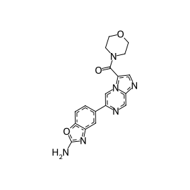 Nc1nc2cc(-c3cn4c(C(=O)N5CCOCC5)cnc4cn3)ccc2o1